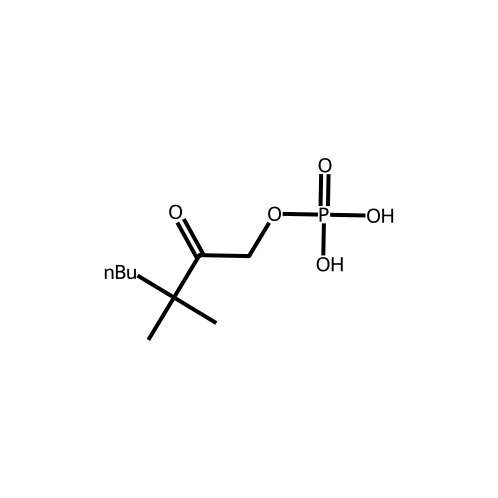 CCCCC(C)(C)C(=O)COP(=O)(O)O